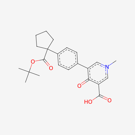 Cn1cc(C(=O)O)c(=O)c(-c2ccc(C3(C(=O)OC(C)(C)C)CCCC3)cc2)c1